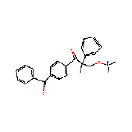 C[SiH](C)OCC(C)(C(=O)c1ccc(C(=O)c2ccccc2)cc1)c1ccccc1